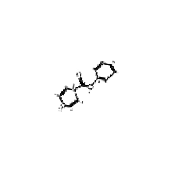 O=C(Oc1ccccc1)N1C=COC=C1